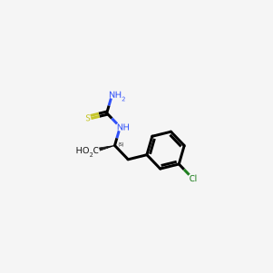 NC(=S)N[C@@H](Cc1cccc(Cl)c1)C(=O)O